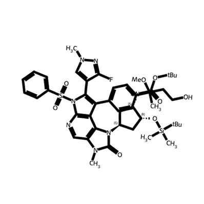 COC(C)(CCO)c1ccc(-c2c(-c3cn(C)nc3F)n(S(=O)(=O)c3ccccc3)c3ncc4c(c23)n([C@H]2C[C@H](NC(=O)OC(C)(C)C)[C@H](O[Si](C)(C)C(C)(C)C)C2)c(=O)n4C)cc1